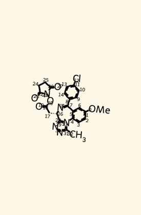 COc1ccc2c(c1)C(c1ccc(Cl)cc1)=N[C@@H](CC(=O)ON1C(=O)CCC1=O)c1nnc(C)n1-2